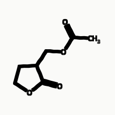 CC(=O)OCC1CCOC1=O